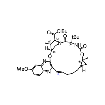 COc1ccc2nc3c(nc2c1)O[C@H]1CN(C(=O)[C@H](C(C)(C)C)NC(=O)O[C@]2(C)C[C@H]2CCC/C=C/3)[C@H](C(=O)OCC(C)C)[C@@H]1C